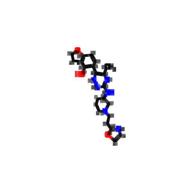 Cc1nc(N[C@@H]2CCCN(CCc3ncco3)C2)nnc1-c1ccc2c(c1O)CCO2